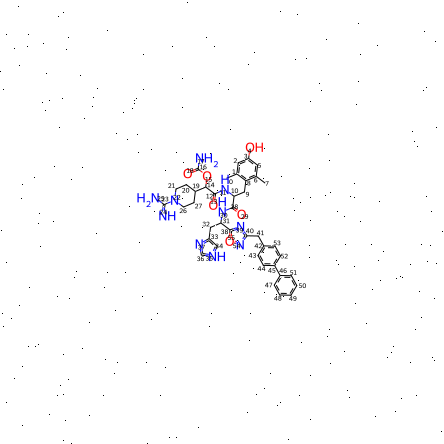 Cc1cc(O)cc(C)c1CC(NC(=O)C(OC(N)=O)C1CCN(C(=N)N)CC1)C(=O)NC(Cc1c[nH]cn1)c1nc(Cc2ccc(-c3ccccc3)cc2)no1